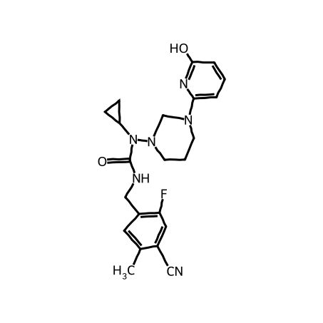 Cc1cc(CNC(=O)N(C2CC2)N2CCCN(c3cccc(O)n3)C2)c(F)cc1C#N